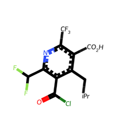 CC(C)Cc1c(C(=O)Cl)c(C(F)F)nc(C(F)(F)F)c1C(=O)O